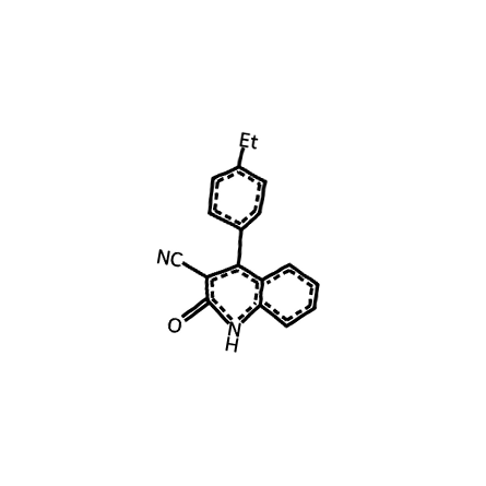 CCc1ccc(-c2c(C#N)c(=O)[nH]c3ccccc23)cc1